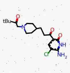 CC(C)(C)C(=O)CN1CCC(CCC(=O)c2cc(Cl)c(N)[nH]c2=O)CC1